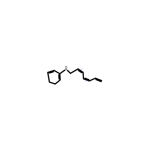 C=C/C=C\C=C/CNC1=CCCC=C1